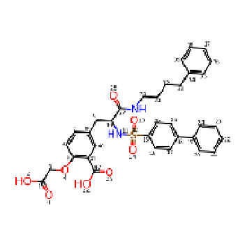 O=C(O)COc1ccc(C[C@H](NS(=O)(=O)c2ccc(-c3ccccc3)cc2)C(=O)NCCCCc2ccccc2)cc1C(=O)O